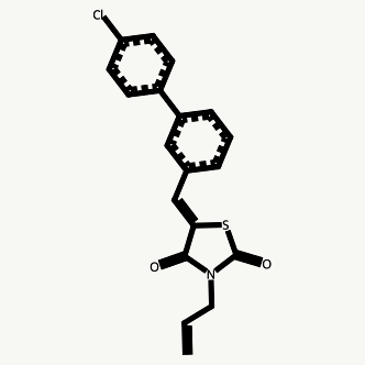 C=CCN1C(=O)S/C(=C\c2cccc(-c3ccc(Cl)cc3)c2)C1=O